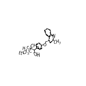 CCOC(=O)C(C)(C)C(O)c1ccc(OCc2cc(C)nc3ccccc23)cc1